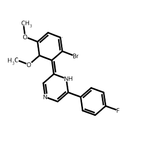 COC1=C[C]=C(Br)/C(=C2/C=NC=C(c3ccc(F)cc3)N2)C1OC